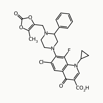 Cc1oc(=O)oc1CN1CCN(c2c(Cl)cc3c(=O)c(C(=O)O)cn(C4CC4)c3c2F)CC1c1ccccc1